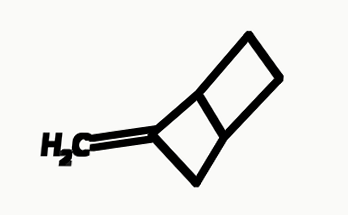 C=C1CC2CCC12